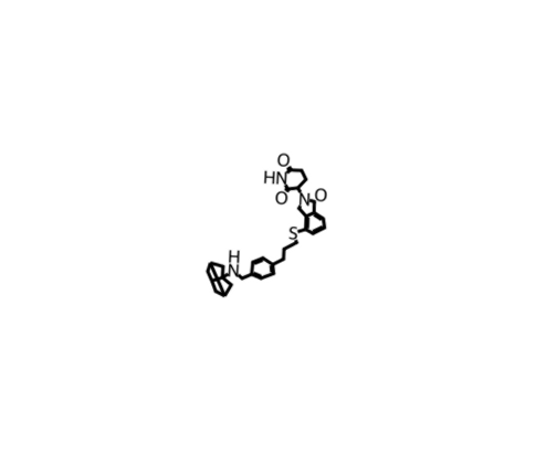 O=C1CCC(N2Cc3c(SCCCc4ccc(CNC56CC7CC5CC7C6)cc4)cccc3C2=O)C(=O)N1